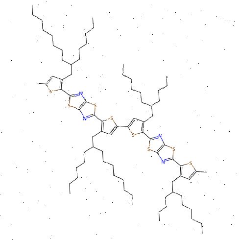 CCCCCCCCC(CCCCCC)Cc1cc(C)sc1-c1nc2sc(-c3sc(-c4cc(CC(CCCC)CCCCCC)c(-c5nc6sc(-c7sc(C)cc7CC(CCCC)CCCCCC)nc6s5)s4)cc3CC(CCCCCC)CCCCCCCC)nc2s1